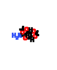 CC1(C)O[C@@H]2[C@@H](CO[C@@]3(CN)OC(C)(C)O[C@@H]23)O1